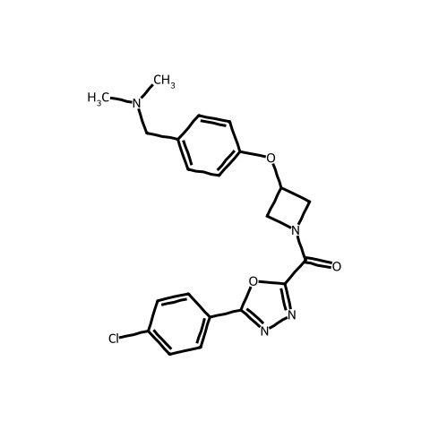 CN(C)Cc1ccc(OC2CN(C(=O)c3nnc(-c4ccc(Cl)cc4)o3)C2)cc1